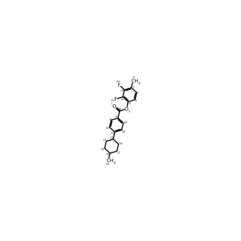 Cc1ccc(OC(=O)c2ccc(C3CCC(C)CC3)cc2)c(F)c1F